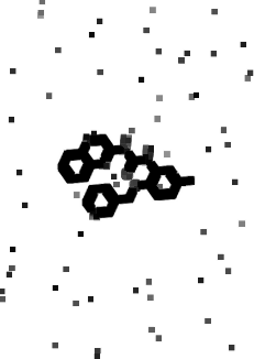 Cc1ccc(OCc2cccnc2)c(NC(=O)Nc2cnc3ccccc3n2)c1